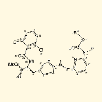 COC(=O)[C@H](Cc1ccc(OCc2cccc(N(C)C(=O)OC(C)(C)C)n2)cc1)NC(=O)c1c(Cl)cccc1Cl